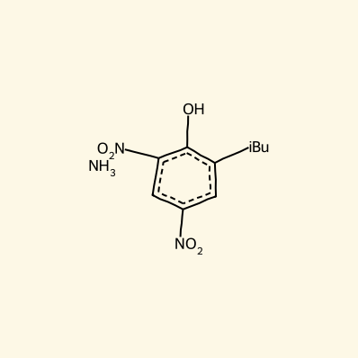 CCC(C)c1cc([N+](=O)[O-])cc([N+](=O)[O-])c1O.N